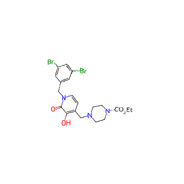 CCOC(=O)N1CCN(Cc2ccn(Cc3cc(Br)cc(Br)c3)c(=O)c2O)CC1